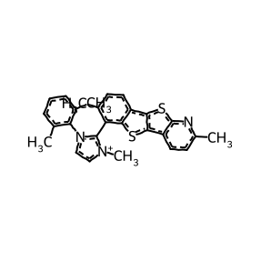 Cc1ccc2c(n1)sc1c3ccc(C)c(-c4n(-c5c(C)cccc5C)cc[n+]4C)c3sc21